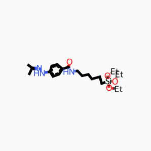 CCO[Si](CCCCCCNC(=O)c1ccc(NN=C(C)C)cc1)(OCC)OCC